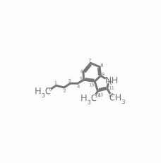 CCCCCc1cccc2[nH]c(C)c(C)c12